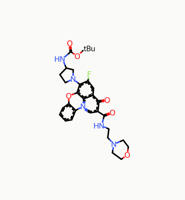 CC(C)(C)OC(=O)NC1CCN(c2c(F)cc3c(=O)c(C(=O)NCCN4CCOCC4)cn4c3c2Oc2ccccc2-4)C1